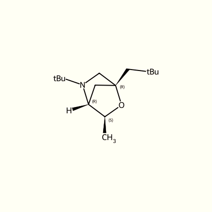 C[C@@H]1O[C@]2(CC(C)(C)C)C[C@H]1N(C(C)(C)C)C2